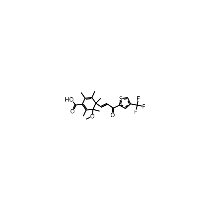 COC1(C)C(C)=C(C(=O)O)C(C)=C(C)C1(C)C=CC(=O)c1cc(C(F)(F)F)cs1